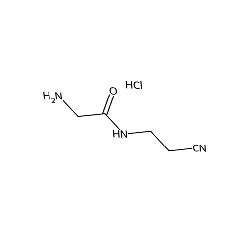 Cl.N#CCCNC(=O)CN